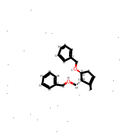 CC1=CC[C@H](OCc2ccccc2)[C@H]1COCc1ccccc1